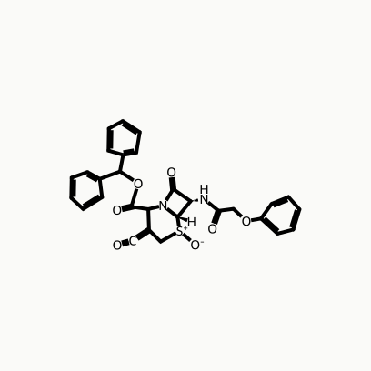 O=C=C1C[S+]([O-])[C@H]2[C@@H](NC(=O)COc3ccccc3)C(=O)N2C1C(=O)OC(c1ccccc1)c1ccccc1